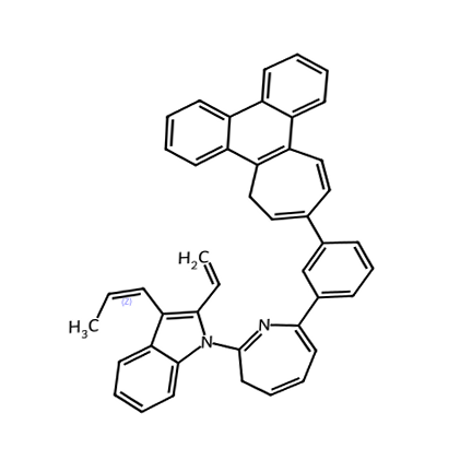 C=Cc1c(/C=C\C)c2ccccc2n1C1=NC(c2cccc(C3=CCc4c(c5ccccc5c5ccccc45)C=C3)c2)=CC=CC1